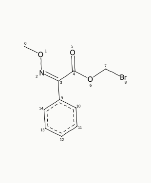 CON=C(C(=O)OCBr)c1ccccc1